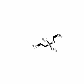 C=CC[Si](C)(C)OC=C